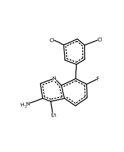 CCc1c(N)cnc2c(-c3cc(Cl)cc(Cl)c3)c(F)ccc12